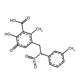 Cc1cccc(N(Cc2cc(=O)c(O)c(C(=O)O)n2C)[SH](=O)=O)c1